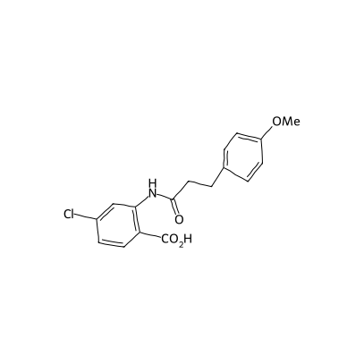 COc1ccc(CCC(=O)Nc2cc(Cl)ccc2C(=O)O)cc1